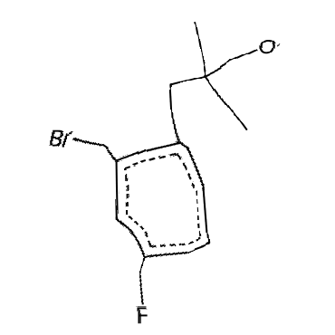 CC(C)([O])Cc1ccc(F)cc1Br